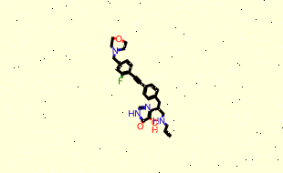 C=CCNCC(Cc1ccc(C#Cc2ccc(CN3CCOCC3)cc2F)cc1)c1nc[nH]c(=O)c1O